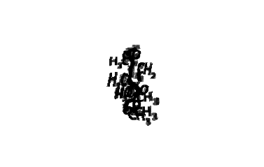 C=CC[C@H](C(=O)C(C)(C)[C@@H]1CCOC(C)(C)O1)[C@H](O)[C@@H](C)CCCC1(C)OCCO1